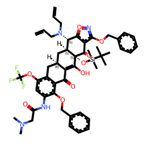 C=CCN(CC=C)[C@@H]1c2onc(OCc3ccccc3)c2C(=O)[C@@]2(O[Si](C)(C)C(C)(C)C)C(O)=C3C(=O)c4c(c(OC(F)(F)F)cc(NC(=O)CN(C)C)c4OCc4ccccc4)C[C@H]3C[C@@H]12